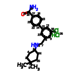 CC1(C)CCC(NCc2cc(Cl)cc(-c3ccc(C(N)=O)cc3)c2)CC1.Cl